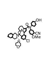 COc1ccc(N(C(=O)c2cc(-c3cc(Cl)ccc3C(=O)N3Cc4ccccc4C[C@H]3CN3CCOCC3)n3c2CCCC3)c2ccc(O)cc2)cc1C#N